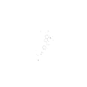 CC(O)c1cc2cnc(Nc3ccc4c(n3)CCN(C(=O)[C@@H]3CCCCN3CCO)C4)nc2c(N2C3CCC2CC3)n1